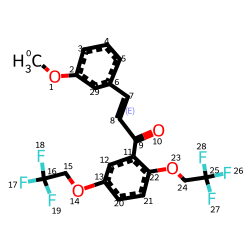 COc1cccc(/C=C/C(=O)c2cc(OCC(F)(F)F)ccc2OCC(F)(F)F)c1